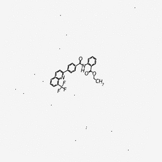 CCOC(=O)c1ccccc1NC(=O)c1ccc(-c2ccc3cccc(C(F)(F)F)c3n2)cc1